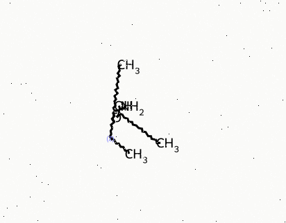 CCCCCCCC/C=C\CCCCCCCCC(CCCCCCCCCCCCCCCC)C(C(=O)CCCCCCCCCCCCCCCCC)C(O)CN